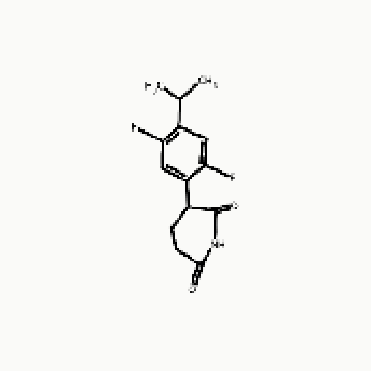 CC(C)c1cc(F)c(C2CCC(=O)NC2=O)cc1F